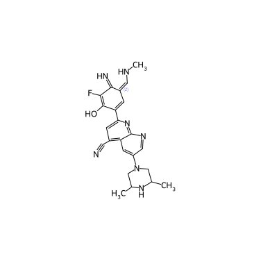 CN/C=C1/C=C(c2cc(C#N)c3cc(N4CC(C)NC(C)C4)cnc3n2)C(O)=C(F)C1=N